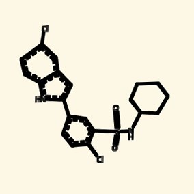 O=S(=O)(NC1CCCCC1)c1cc(-c2cc3cc(Cl)ccc3[nH]2)ccc1Cl